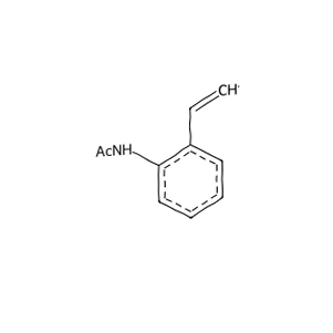 [CH]=Cc1ccccc1NC(C)=O